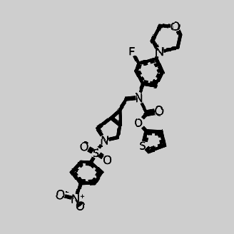 O=C(Oc1cccs1)N(CC1C2CN(S(=O)(=O)c3ccc([N+](=O)[O-])cc3)CC12)c1ccc(N2CCOCC2)c(F)c1